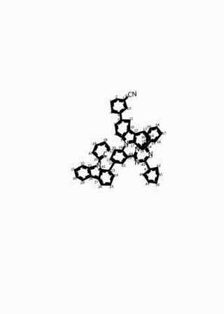 N#Cc1cccc(-c2ccc3c(c2)c2ccccc2n3-c2ccc(-c3cccc4c5ccccc5n(-c5ccccc5)c34)cc2-c2nc(-c3ccccc3)nc(-c3ccccc3)n2)c1